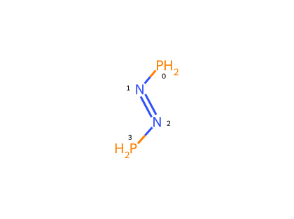 PN=NP